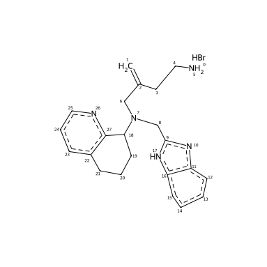 Br.C=C(CCN)CN(Cc1nc2ccccc2[nH]1)C1CCCc2cccnc21